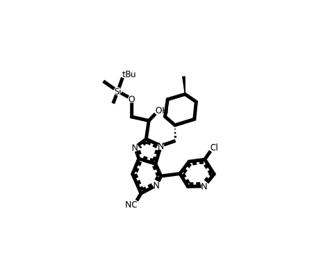 CC(C)(C)[Si](C)(C)OCC(O)c1nc2cc(C#N)nc(-c3cncc(Cl)c3)c2n1C[C@H]1CC[C@H](C)CC1